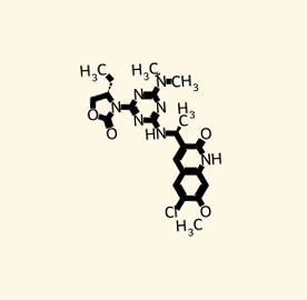 CC[C@H]1COC(=O)N1c1nc(N[C@@H](C)c2cc3cc(Cl)c(OC)cc3[nH]c2=O)nc(N(C)C)n1